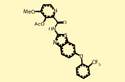 COc1ccnc(C(=O)Nc2nc3ccc(Oc4ccccc4C(F)(F)F)cc3s2)c1OC(C)=O